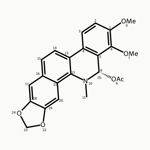 COc1ccc2c(c1OC)[C@H](OC(C)=O)N(C)c1c-2ccc2cc3c(cc12)OCO3